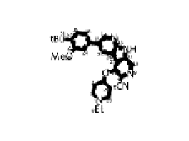 CCN1CCC(Oc2c(C#N)ncc3[nH]c4ncc(-c5ccc(C(C)(C)C)c(OC)c5)cc4c23)CC1